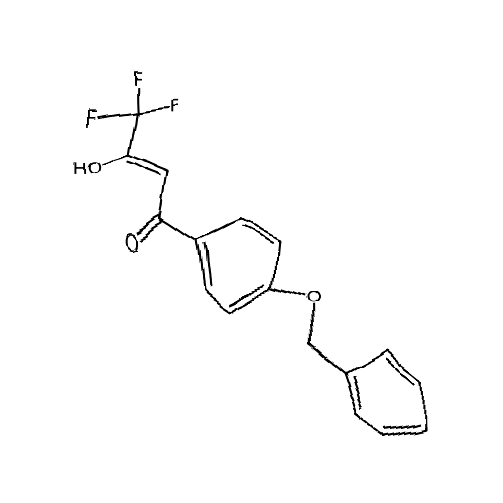 O=C(C=C(O)C(F)(F)F)c1ccc(OCc2ccccc2)cc1